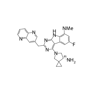 CNc1cc(F)cc2c1[nH]c1nc(Cc3cnc4cccnc4c3)nc(N3C[C@H](N)C4(CC4)C3)c12